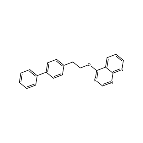 c1ccc(-c2ccc(CCOc3ncnc4ncccc34)cc2)cc1